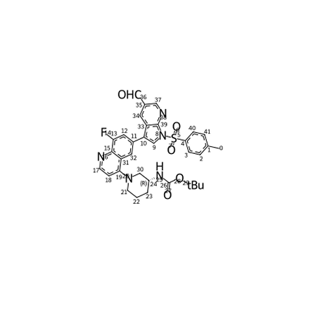 Cc1ccc(S(=O)(=O)n2cc(-c3cc(F)c4nccc(N5CCC[C@@H](NC(=O)OC(C)(C)C)C5)c4c3)c3cc(C=O)cnc32)cc1